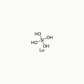 O[Si](O)(O)O.[Lu]